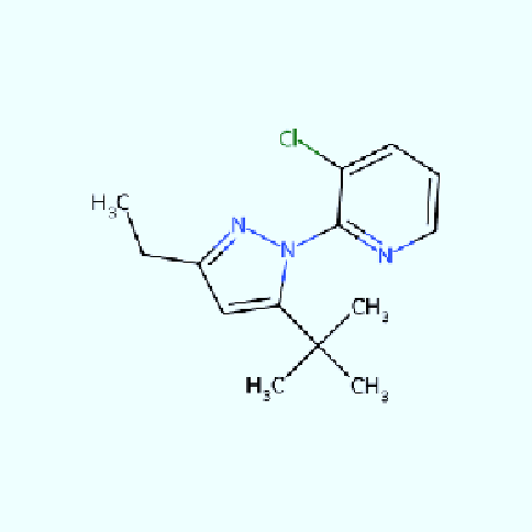 CCc1cc(C(C)(C)C)n(-c2ncccc2Cl)n1